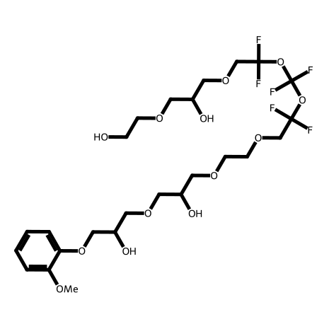 COc1ccccc1OCC(O)COCC(O)COCCOCC(F)(F)OC(F)(F)OC(F)(F)COCC(O)COCCO